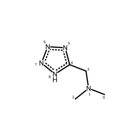 CN(C)Cc1nnn[nH]1